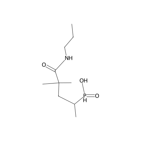 CCCNC(=O)C(C)(C)CC(C)[PH](=O)O